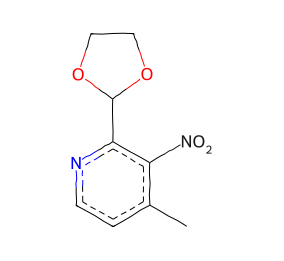 Cc1ccnc(C2OCCO2)c1[N+](=O)[O-]